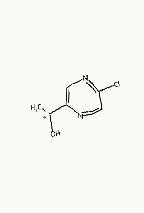 C[C@@H](O)c1cnc(Cl)cn1